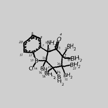 BC1(B)C(=O)C2(N)c3ccccc3B(Cl)C2(B)C(B)(B)C1(B)B